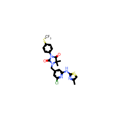 Cc1csc(Nc2cc(CN3C(=O)N(c4ccc(SC(F)(F)F)cc4)C(=O)C3(C)C)cc(Cl)n2)n1